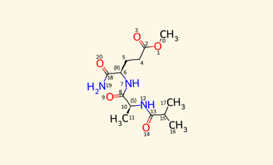 COC(=O)CC[C@@H](NC(=O)[C@H](C)NC(=O)C(C)C)C(N)=O